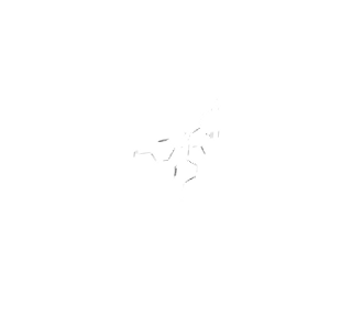 COCC1=NC(c2ccc(F)cc2)(c2ccc(F)cc2)C(=O)N1